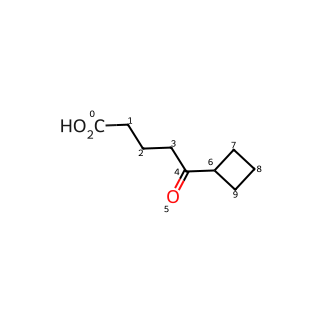 O=C(O)CCCC(=O)C1CCC1